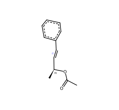 CC(=O)O[C@@H](C)/C=C/c1ccccc1